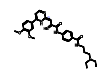 CCN(CC)CCCNC(=O)c1ccc(NC(=O)C(=N)/C=C2/N=CC=C(c3ccc(OC)c(OC)c3)N2)cc1